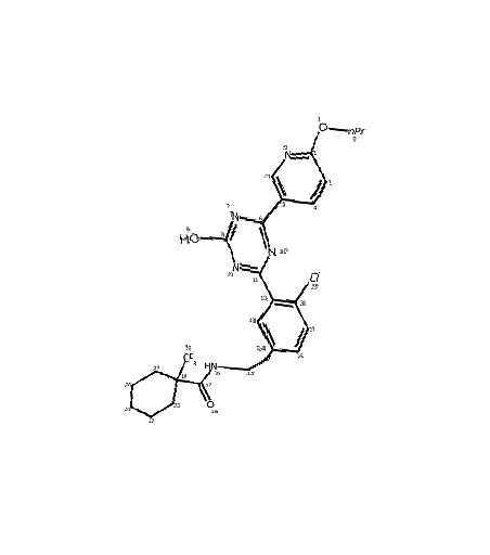 CCCOc1ccc(-c2nc(O)nc(-c3cc(CNC(=O)C4(C(F)(F)F)CCCCC4)ccc3Cl)n2)cn1